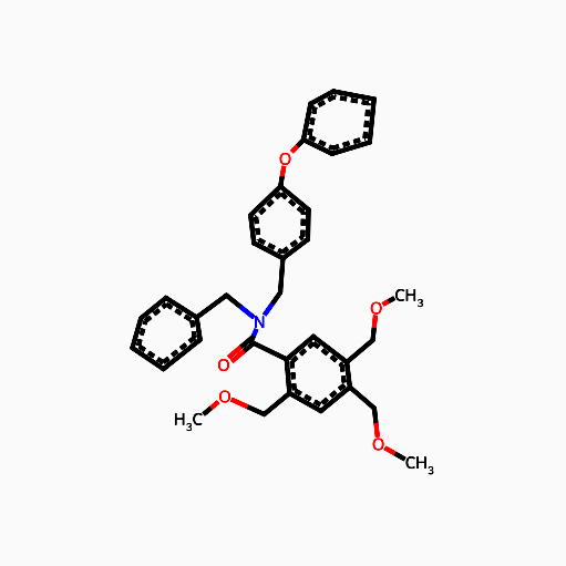 COCc1cc(COC)c(C(=O)N(Cc2ccccc2)Cc2ccc(Oc3ccccc3)cc2)cc1COC